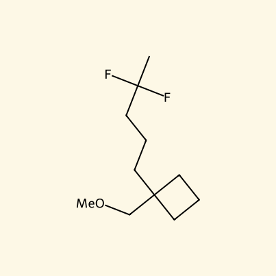 COCC1(CCCC(C)(F)F)CCC1